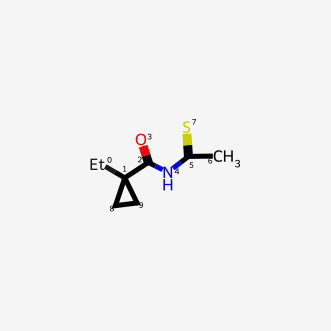 CCC1(C(=O)NC(C)=S)CC1